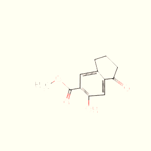 COC(=O)c1cc2c(cc1O)C(=O)CCC2